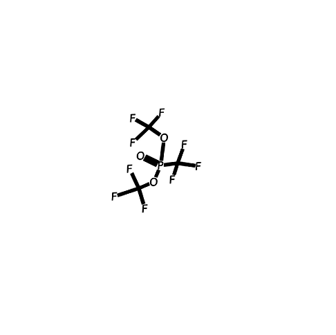 O=P(OC(F)(F)F)(OC(F)(F)F)C(F)(F)F